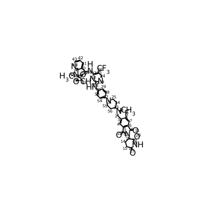 CN(Cc1cc2c(cc1F)C(=O)N(C1CCC(=O)NC1=O)C2=O)C1CCN(c2ccc(Nc3ncc(C(F)(F)F)c(NCc4cccnc4N(C)S(C)(=O)=O)n3)cc2)CC1